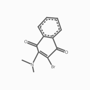 CN(C)C1=C(Br)C(=O)c2ccccc2C1=O